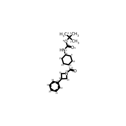 CC(C)(C)OC(=O)N[C@H]1CC[C@H](C(=O)N2CC(c3ccccc3)C2)CC1